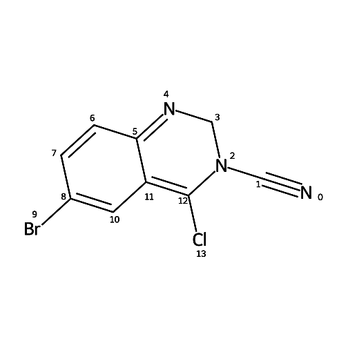 N#CN1CN=c2ccc(Br)cc2=C1Cl